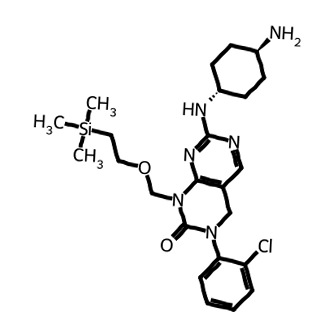 C[Si](C)(C)CCOCN1C(=O)N(c2ccccc2Cl)Cc2cnc(N[C@H]3CC[C@H](N)CC3)nc21